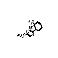 CC[C@]1(N)C=CC=CC1c1ncc(C(=O)O)[nH]1